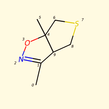 CC1=NOC2(C)CSCC12